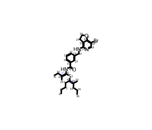 CCCC/C(S/C(NC(=O)c1cccc(CNc2ncc(Br)c3c2CCO3)c1)=C(\C)CC)=C(/C)CCC